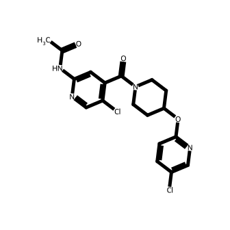 CC(=O)Nc1cc(C(=O)N2CCC(Oc3ccc(Cl)cn3)CC2)c(Cl)cn1